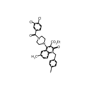 CCOC(=O)c1c(N2CCN(C(=O)c3ccc(Cl)c(Cl)c3)CC2)c2cc(C)ccc2n(Cc2ccc(F)cc2)c1=O